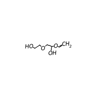 C=COC(O)COCCO